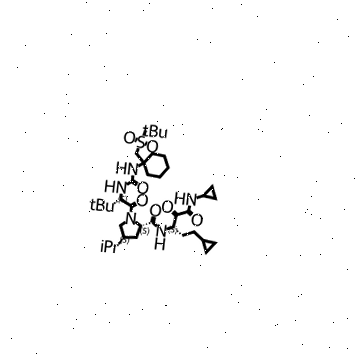 CC(C)[C@@H]1C[C@@H](C(=O)N[C@@H](CCC2CC2)C(=O)C(=O)NC2CC2)N(C(=O)[C@@H](NC(=O)NC2(CS(=O)(=O)C(C)(C)C)CCCCC2)C(C)(C)C)C1